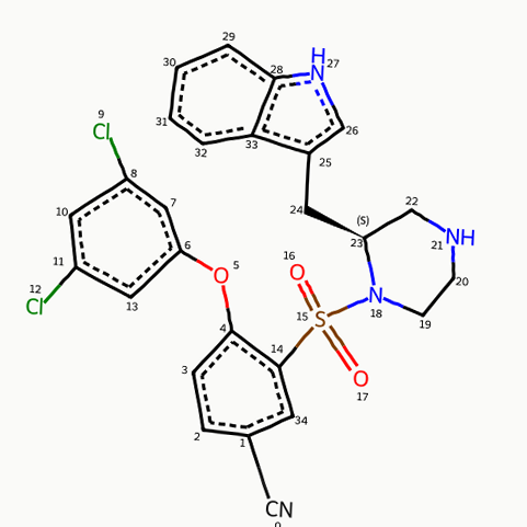 N#Cc1ccc(Oc2cc(Cl)cc(Cl)c2)c(S(=O)(=O)N2CCNC[C@@H]2Cc2c[nH]c3ccccc23)c1